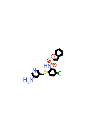 Nc1cncc(CSc2ccc(Cl)cc2NS(=O)(=O)c2cc3ccccc3o2)c1